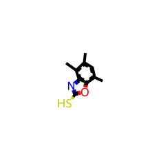 Cc1cc(C)c2oc(S)nc2c1C